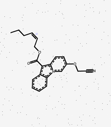 CCC/C=C\COC(=O)c1c2ccccc2n2cc(OCC#N)ccc12